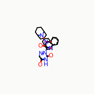 O=c1cnn(-c2nc3ccccc3n(C3CC4CCCC(C3)N4C3CC4CCCC(C4)C3)c2=O)c(=O)[nH]1